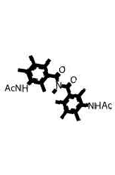 CC(=O)Nc1c(C)c(C)c(C)c(C(=O)N(C)C(=O)c2c(C)c(C)c(C)c(NC(C)=O)c2C)c1C